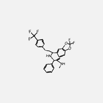 C=C(NC)C(NC(CCc1ccc(C(F)(F)F)cc1)c1ccc2c(c1)OC(F)(F)O2)c1ccccc1